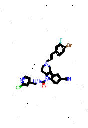 N#Cc1ccc2c(c1)c1c(n2C(=O)NCc2ccnc(Cl)c2)CCN(CC=Cc2ccc(Br)c(F)c2)C1